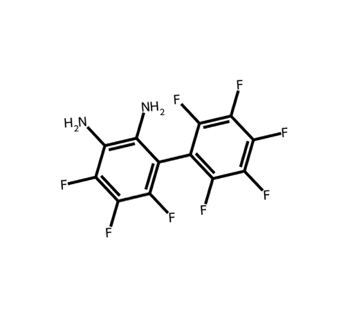 Nc1c(N)c(-c2c(F)c(F)c(F)c(F)c2F)c(F)c(F)c1F